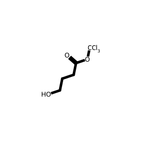 O=C(CCCO)OC(Cl)(Cl)Cl